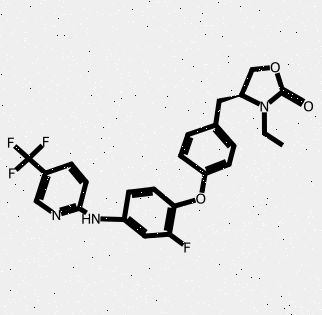 CCN1C(=O)OC[C@@H]1Cc1ccc(Oc2ccc(Nc3ccc(C(F)(F)F)cn3)cc2F)cc1